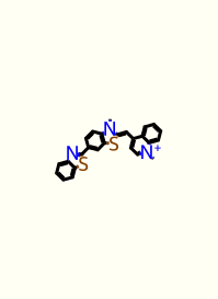 CN1/C(=C/c2cc[n+](C)c3ccccc23)Sc2cc(-c3nc4ccccc4s3)ccc21